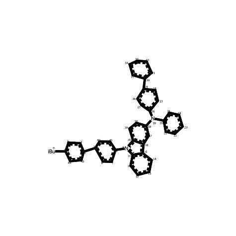 CCC(C)c1ccc(-c2ccc(-n3c4ccccc4c4cc(N(c5ccccc5)c5ccc(-c6ccccc6)cc5)ccc43)cc2)cc1